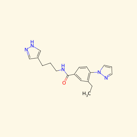 CCc1cc(C(=O)NCCCc2cn[nH]c2)ccc1-n1cccn1